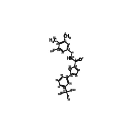 Cc1cc(CNC(=O)c2ccc(-c3cccc(C(F)(F)F)c3)o2)cc(F)c1C